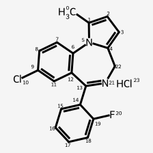 Cc1ccc2n1-c1ccc(Cl)cc1C(c1ccccc1F)=NC2.Cl